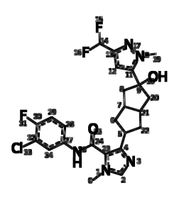 Cn1cnc(C2CC3CC(O)(c4cc(C(F)F)nn4C)CC3C2)c1C(=O)Nc1ccc(F)c(Cl)c1